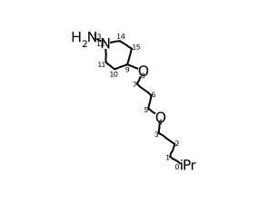 CC(C)CCCOCCCOC1CCN(N)CC1